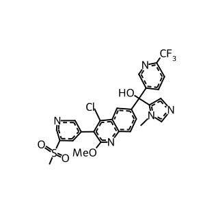 COc1nc2ccc(C(O)(c3ccc(C(F)(F)F)nc3)c3cncn3C)cc2c(Cl)c1-c1cncc(S(C)(=O)=O)c1